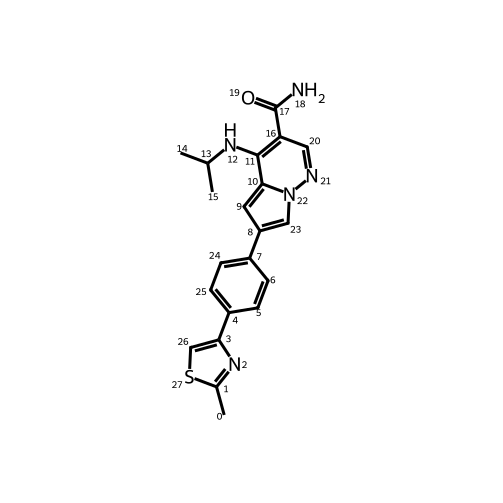 Cc1nc(-c2ccc(-c3cc4c(NC(C)C)c(C(N)=O)cnn4c3)cc2)cs1